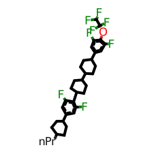 CCCC1CCC(c2cc(F)c(C3CCC(C4CCC(c5cc(F)c(OC(F)(F)C(F)F)c(F)c5)CC4)CC3)c(F)c2)CC1